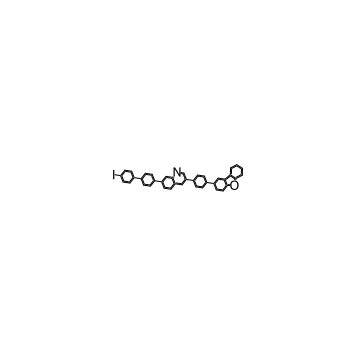 Ic1ccc(-c2ccc(-c3ccc4cc(-c5ccc(-c6ccc7oc8ccccc8c7c6)cc5)cnc4c3)cc2)cc1